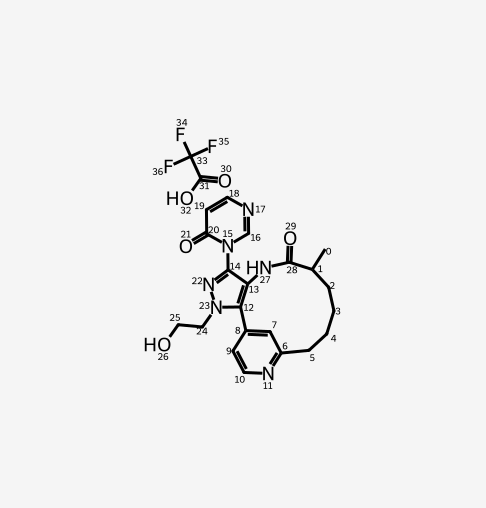 CC1CCCCc2cc(ccn2)-c2c(c(-n3cnccc3=O)nn2CCO)NC1=O.O=C(O)C(F)(F)F